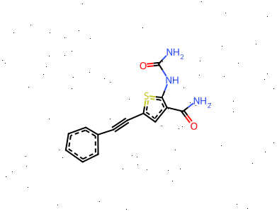 NC(=O)Nc1sc(C#Cc2ccccc2)cc1C(N)=O